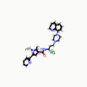 CCCn1c(-c2ccccn2)cc(C(=O)NCCCN2CCN(c3cccc4cccnc34)CC2)c1C.Cl.Cl